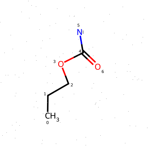 CCCOC([N])=O